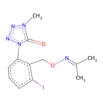 CC(C)=NOCc1c(I)cccc1-n1nnn(C)c1=O